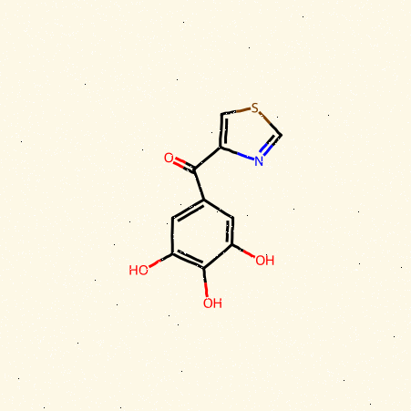 O=C(c1cc(O)c(O)c(O)c1)c1cscn1